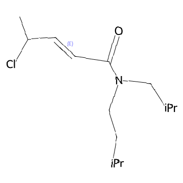 CC(Cl)/C=C/C(=O)N(CCC(C)C)CC(C)C